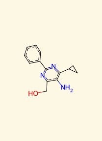 Nc1c(CO)nc(-c2ccccc2)nc1C1CC1